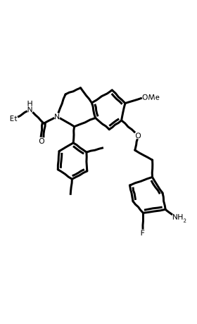 CCNC(=O)N1CCc2cc(OC)c(OCCc3ccc(F)c(N)c3)cc2C1c1ccc(C)cc1C